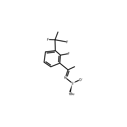 C/C(=N\[S@@+]([O-])C(C)(C)C)c1cccc(C(C)(F)F)c1F